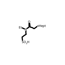 CCCCCCCCC(=O)N(CC)CCS(=O)(=O)O